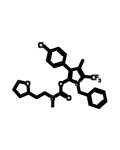 Cc1c(-c2ccc(Cl)cc2)c(OC(=O)N(C)CCC2CCCO2)n(Cc2ccccc2)c1C(F)(F)F